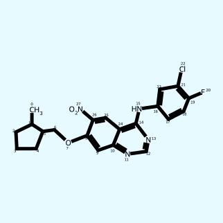 CC1CCCC1COc1cc2ncnc(Nc3ccc(F)c(Cl)c3)c2cc1[N+](=O)[O-]